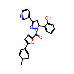 CC1C=CC(c2ccc(C(=O)N3N=C(c4cccnc4)CC3c3ccccc3O)o2)=CC1